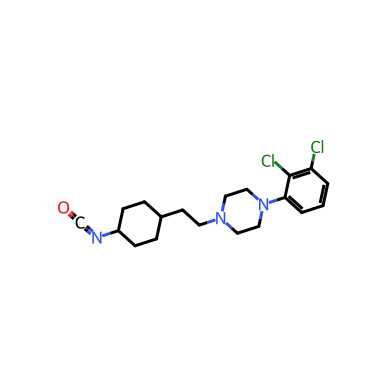 O=C=NC1CCC(CCN2CCN(c3cccc(Cl)c3Cl)CC2)CC1